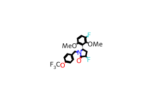 COc1ccc(F)c(OC)c1[C@@H]1CC(F)C(=O)N1Cc1ccc(OC(F)(F)F)cc1